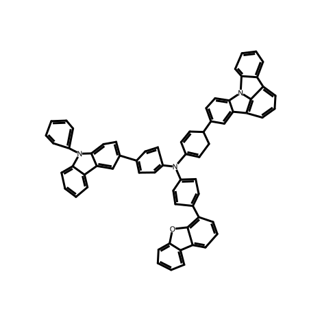 C1=CC(c2ccc3c(c2)c2cccc4c5ccccc5n3c42)CC=C1N(c1ccc(-c2ccc3c(c2)c2ccccc2n3-c2ccccc2)cc1)c1ccc(-c2cccc3c2oc2ccccc23)cc1